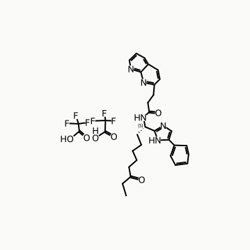 CCC(=O)CCCCC[C@H](NC(=O)CCc1ccc2cccnc2n1)c1ncc(-c2ccccc2)[nH]1.O=C(O)C(F)(F)F.O=C(O)C(F)(F)F